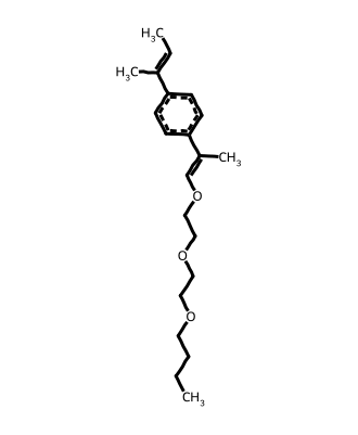 C/C=C(\C)c1ccc(/C(C)=C/OCCOCCOCCCC)cc1